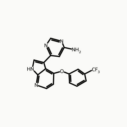 Nc1cc(-c2c[nH]c3nccc(Oc4cccc(C(F)(F)F)c4)c23)ncn1